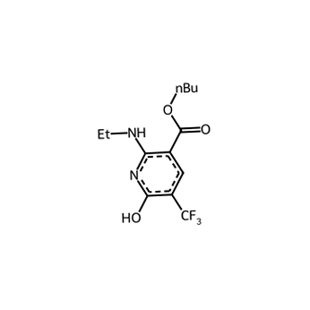 CCCCOC(=O)c1cc(C(F)(F)F)c(O)nc1NCC